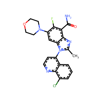 Cc1nc2c(C(N)=O)c(F)c(N3CCOCC3)cc2n1-c1ccnc2c(Cl)cccc12